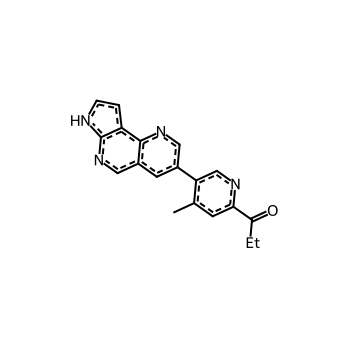 CCC(=O)c1cc(C)c(-c2cnc3c(cnc4[nH]ccc43)c2)cn1